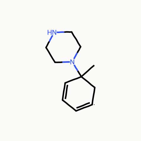 CC1(N2CCNCC2)C=CC=[C]C1